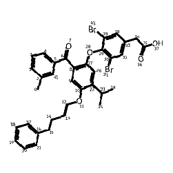 Cc1cccc(C(=O)c2cc(OCCCCc3ccccc3)c(C(C)C)cc2Oc2c(Br)cc(CC(=O)O)cc2Br)c1